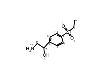 CCS(=O)(=O)c1ccc(C(O)CN)cc1